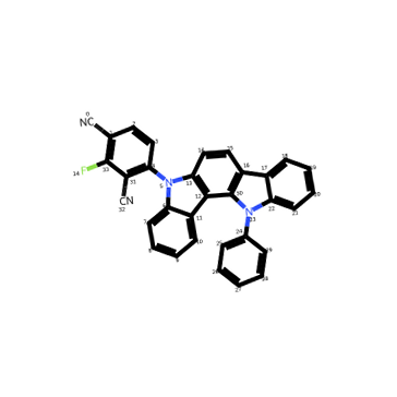 N#Cc1ccc(-n2c3ccccc3c3c2ccc2c4ccccc4n(-c4ccccc4)c23)c(C#N)c1F